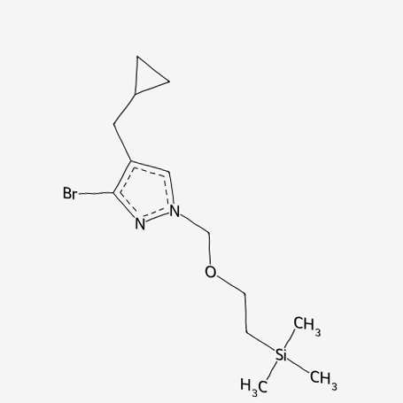 C[Si](C)(C)CCOCn1cc(CC2CC2)c(Br)n1